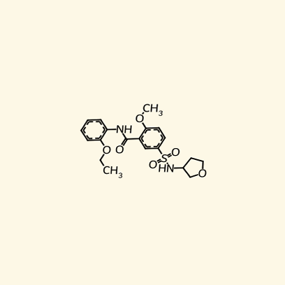 CCOc1ccccc1NC(=O)c1cc(S(=O)(=O)NC2CCOC2)ccc1OC